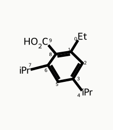 CCc1cc(C(C)C)cc(C(C)C)c1C(=O)O